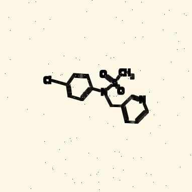 CS(=O)(=O)N(Cc1cccnc1)c1ccc(Cl)cc1